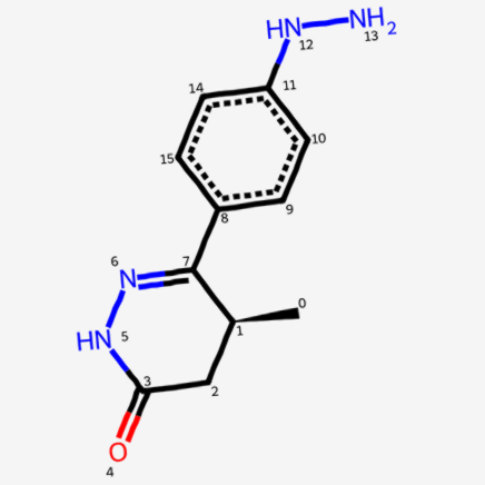 C[C@H]1CC(=O)NN=C1c1ccc(NN)cc1